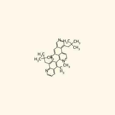 Cc1c2c(c(CC(C)(C)C)c3ncccc13)Sc1cc3cncc(CC(C)(C)C)c3c3cc[n+](C)c-2c13